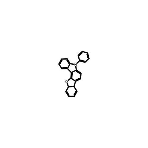 C1=CC2Oc3c(ccc4c3c3ccccc3n4-c3ccccc3)C2C=C1